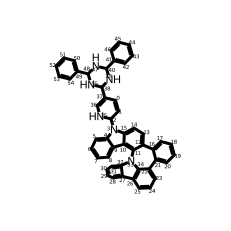 C1=CC(n2c3ccccc3c3c4c(ccc32)-c2ccccc2-c2cccc3c5ccccc5n-4c23)NC=C1C1NC(c2ccccc2)NC(c2ccccc2)N1